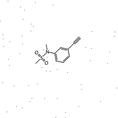 C#Cc1cccc(N(C)S(C)(=O)=O)c1